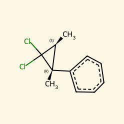 C[C@@H]1C(Cl)(Cl)[C@@]1(C)c1ccccc1